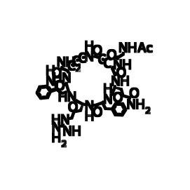 CC(=O)NCC(=O)NC1CCC(=O)NCCCC(C(N)=O)NC(=O)[C@H](Cc2c[nH]c3ccccc23)NC(=O)[C@H](CCCNC(=N)N)NC(=O)C(Cc2ccccc2)NC(=O)[C@H](CCC(N)=O)NC1=O